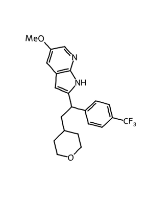 COc1cnc2[nH]c(C(CC3CCOCC3)c3ccc(C(F)(F)F)cc3)cc2c1